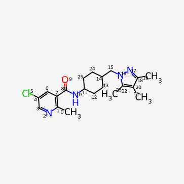 Cc1ncc(Cl)cc1C(=O)NC1CCC(Cn2nc(C)c(C)c2C)CC1